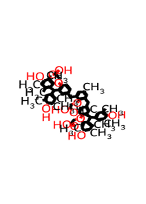 Cc1cc(Cc2ccc(OCC(=O)O)c(C(c3cc(C)c(O)c(C)c3C)c3cc(C)c(O)c(C)c3C)c2)c(OCC(=O)O)c(Cc2ccc(OCC(=O)O)c(C(c3cc(C)c(O)c(C)c3C)c3cc(C)c(O)c(C)c3C)c2)c1